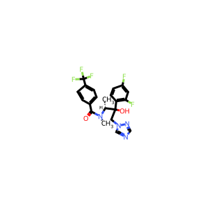 C[C@@H](N(C)C(=O)c1ccc(C(F)(F)F)cc1)C(O)(Cn1cncn1)c1ccc(F)cc1F